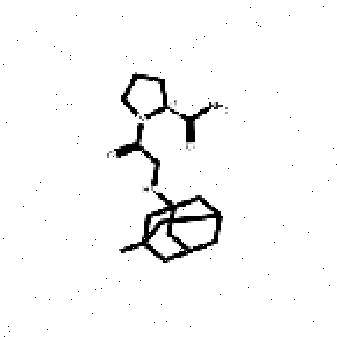 NC(=O)[C@@H]1CCCN1C(=O)CNC12CC3CC(CC(I)(C3)C1)C2